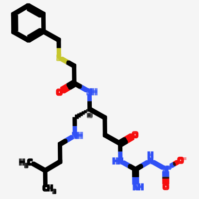 CC(C)CCNC[C@@H](CCC(=O)NC(=N)N[N+](=O)[O-])NC(=O)CSCc1ccccc1